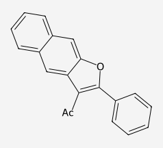 CC(=O)c1c(-c2ccccc2)oc2cc3ccccc3cc12